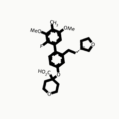 COc1cc(-c2ccc(OC3(C(=O)O)CCOCC3)cc2CC[C@@H]2CCOC2)c(F)c(OC)c1C